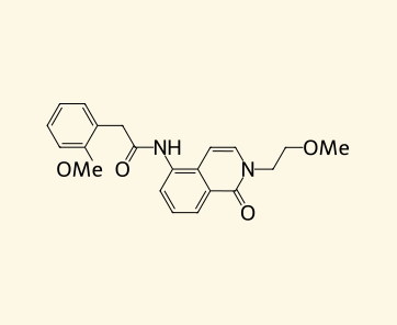 COCCn1ccc2c(NC(=O)Cc3ccccc3OC)cccc2c1=O